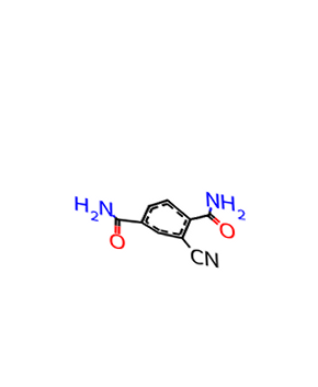 N#Cc1cc(C(N)=O)ccc1C(N)=O